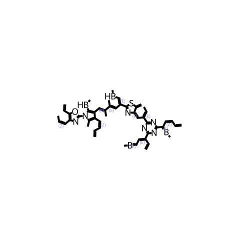 C=C/C=C\C(=B/C)c1nc(/C(C=C)=C/C=B\C)nc(C(=C/C)/C=c2/nc(C(/C=C(C)/C(C)=C/c3c(/C=C\C=C)c(C)n(-c4nc(/C=C\C)c(C=C)o4)c3BC)=C/BC)sc2=C)n1